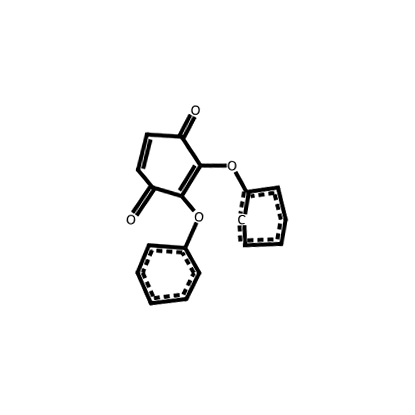 O=C1C=CC(=O)C(Oc2ccccc2)=C1Oc1ccccc1